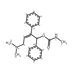 CNC(=O)OC(C(=CCN(C)C)c1ccccc1)c1ccccc1